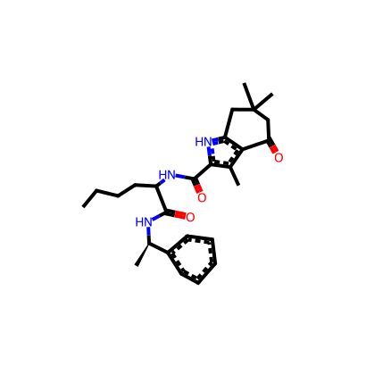 CCCCC(NC(=O)c1[nH]c2c(c1C)C(=O)CC(C)(C)C2)C(=O)N[C@H](C)c1ccccc1